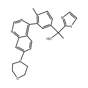 Cc1ccc(C(C)(O)c2nccs2)cc1-c1ncnc2cc(N3CCOCC3)ccc12